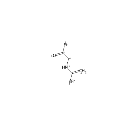 C=C(CCC)NCC(=O)CC